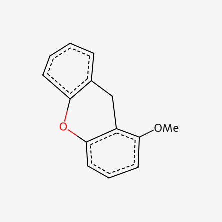 COc1cccc2c1Cc1ccccc1O2